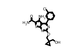 NC(=O)c1sc2nc(OCC3(CO)CC3)nc(-c3cccc(Cl)c3)c2c1N